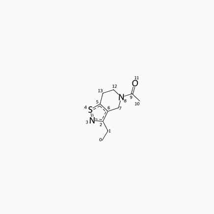 CCc1nsc2c1CN(C(C)=O)CC2